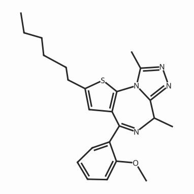 CCCCCCc1cc2c(s1)-n1c(C)nnc1C(C)N=C2c1ccccc1OC